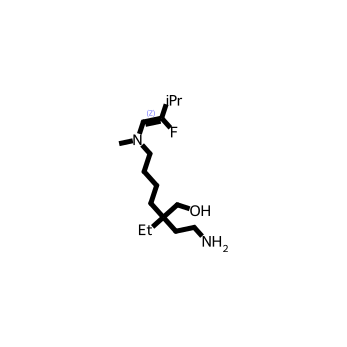 CCC(CO)(CCN)CCCCN(C)/C=C(\F)C(C)C